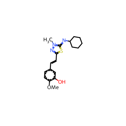 COc1ccc(C=Cc2nn(C)/c(=N/C3CCCCC3)s2)cc1O